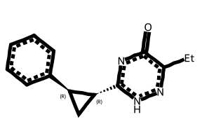 CCc1n[nH]c([C@@H]2C[C@H]2c2ccccc2)nc1=O